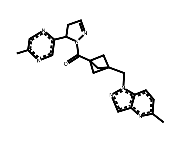 Cc1cnc(C2CC=NN2C(=O)C23CC(Cn4ncc5nc(C)ccc54)(C2)C3)cn1